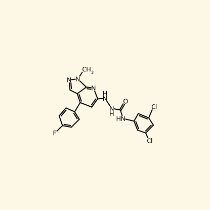 Cn1ncc2c(-c3ccc(F)cc3)cc(NNC(=O)Nc3cc(Cl)cc(Cl)c3)nc21